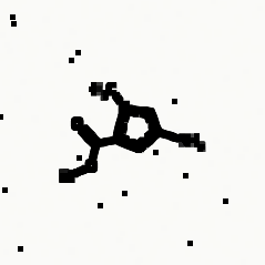 CCOC(=O)c1cc(N)cn1C